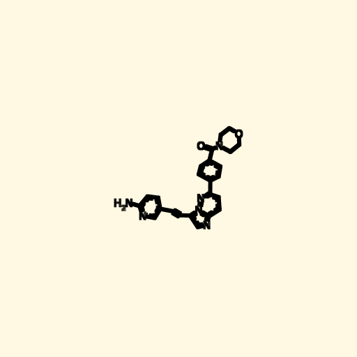 Nc1ccc(C#Cc2cnc3ccc(-c4ccc(C(=O)N5CCOCC5)cc4)nn23)cn1